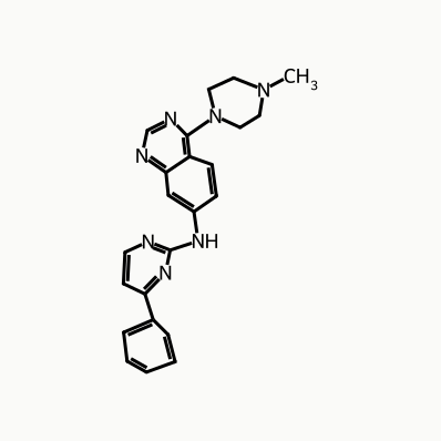 CN1CCN(c2ncnc3cc(Nc4nccc(-c5ccccc5)n4)ccc23)CC1